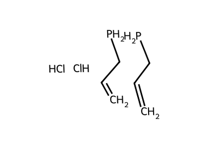 C=CCP.C=CCP.Cl.Cl